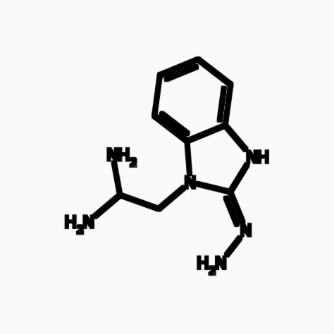 NN=c1[nH]c2ccccc2n1CC(N)N